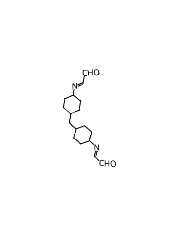 O=CC=NC1CCC(CC2CCC(N=CC=O)CC2)CC1